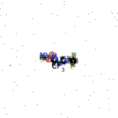 CN(c1cnc(S(=O)(=O)Nc2cscn2)cc1C(F)(F)F)C1CCN(Cc2cc(F)ccc2F)CC1